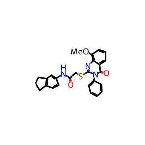 COc1cccc2c(=O)n(-c3ccccc3)c(SCC(=O)Nc3ccc4c(c3)CCC4)nc12